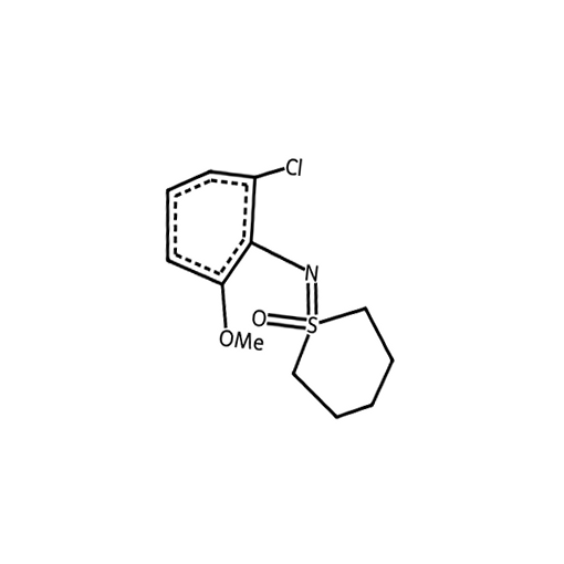 COc1cccc(Cl)c1N=S1(=O)CCCCC1